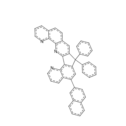 c1ccc(C2(c3ccccc3)c3cc4ccc5cccnc5c4nc3-c3c2cc(-c2ccc4ccccc4c2)c2cccnc32)cc1